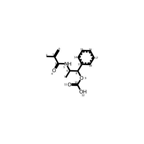 C=C(C)C(=O)NC(C)C(OC(=O)O)c1ccccc1